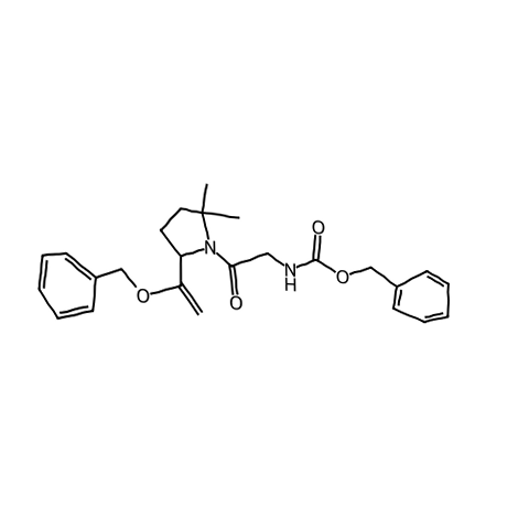 C=C(OCc1ccccc1)C1CCC(C)(C)N1C(=O)CNC(=O)OCc1ccccc1